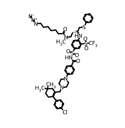 CN(CC[C@H](CSc1ccccc1)Nc1ccc(S(=O)(=O)NC(=O)c2ccc(N3CCN(CC4=C(c5ccc(Cl)cc5)CCC(C)(C)C4)CC3)cc2)cc1S(=O)(=O)C(F)(F)F)C(=O)CCCCCCN=[N+]=[N-]